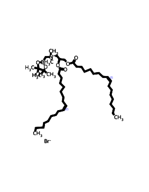 CCCCCCCC/C=C\CCCCCCCC(=O)OCC(C[N+](C)(C)CB1OC(C)(C)C(C)(C)O1)OC(=O)CCCCCCC/C=C\CCCCCCCC.[Br-]